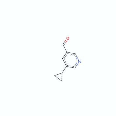 O=Cc1cncc(C2CC2)c1